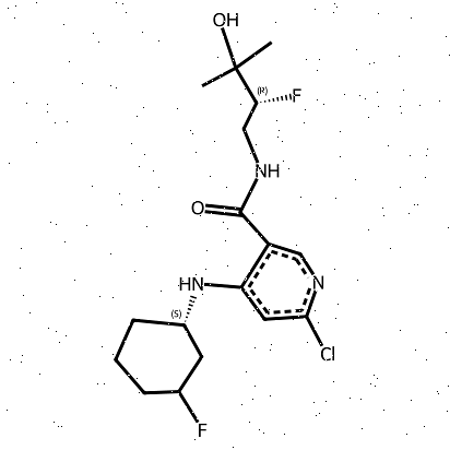 CC(C)(O)[C@H](F)CNC(=O)c1cnc(Cl)cc1N[C@H]1CCCC(F)C1